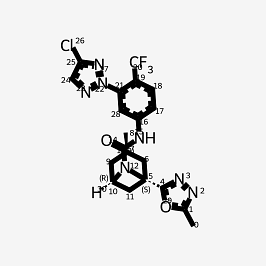 Cc1nnc([C@]23C[C@H](C)C[C@H](C2)N3C(=O)Nc2ccc(C(F)(F)F)c(-n3ncc(Cl)n3)c2)o1